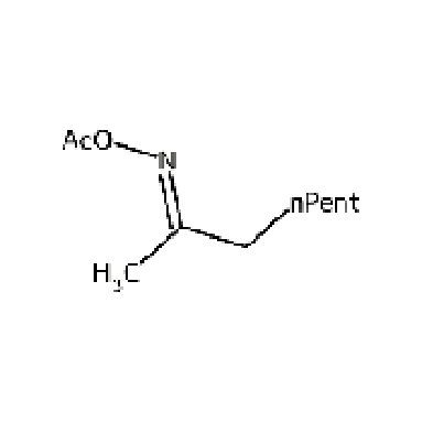 CCCCCCC(C)=NOC(C)=O